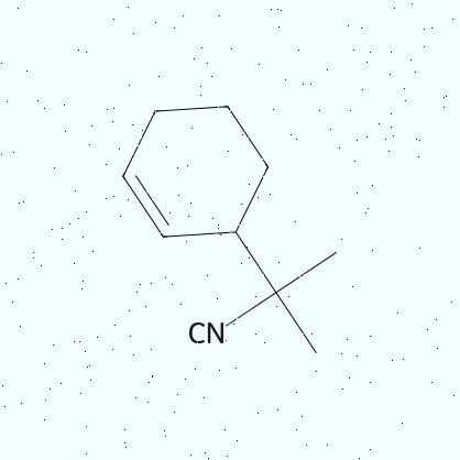 [C-]#[N+]C(C)(C)C1C=CCCC1